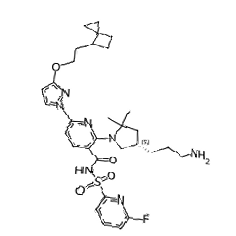 CC1(C)C[C@H](CCCN)CN1c1nc(-n2ccc(OCCC3CCC34CC4)n2)ccc1C(=O)NS(=O)(=O)c1cccc(F)n1